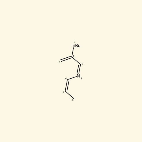 C=C(/C=N\C=C/C)CCCC